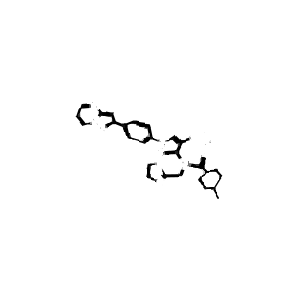 CC1CCC(C(=O)N(Cc2ncco2)c2nn(-c3ccc(-c4cc5ncccn5n4)cc3)cc2C(=O)O)CC1